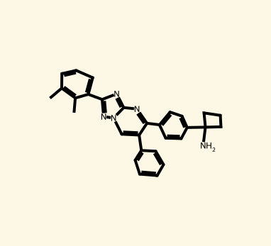 Cc1cccc(-c2nc3nc(-c4ccc(C5(N)CCC5)cc4)c(-c4ccccc4)cn3n2)c1C